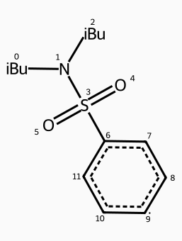 CCC(C)N(C(C)CC)S(=O)(=O)c1cc[c]cc1